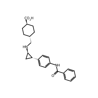 O=C(Nc1ccc([C@@H]2C[C@H]2NC[C@H]2CC[C@H](C(=O)O)CC2)cc1)c1ccccc1